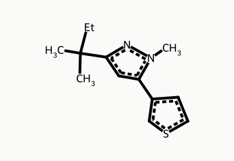 CCC(C)(C)c1cc(-c2ccsc2)n(C)n1